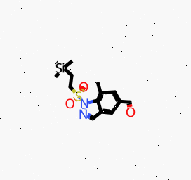 Cc1cc(C=O)cc2cnn(S(=O)(=O)CC[Si](C)(C)C)c12